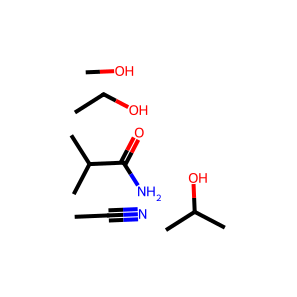 CC#N.CC(C)C(N)=O.CC(C)O.CCO.CO